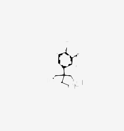 OCC(CO)(CO)c1ccc(F)c(F)c1